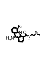 CN(C)CCNC(=O)c1cccc2c(N)c3cccc(Br)c3nc12